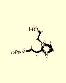 CCCCCCCc1nccn1CCO